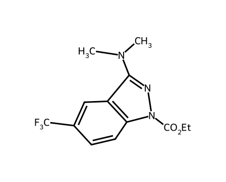 CCOC(=O)n1nc(N(C)C)c2cc(C(F)(F)F)ccc21